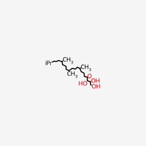 CC(C)CCCC(C)CCCC(C)CCCC(C)CCCC(=O)C(O)C(O)CO